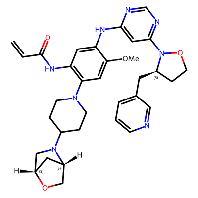 C=CC(=O)Nc1cc(Nc2cc(N3OCC[C@H]3Cc3cccnc3)ncn2)c(OC)cc1N1CCC(N2C[C@@H]3C[C@H]2CO3)CC1